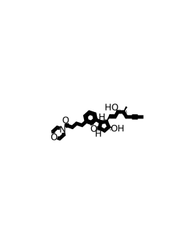 CC#CC[C@H](C)[C@H](O)C=C[C@@H]1[C@H]2c3cccc(CCCC(=O)N4CCOCC4)c3O[C@H]2C[C@H]1O